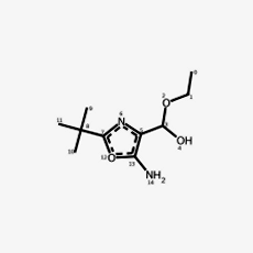 CCOC(O)c1nc(C(C)(C)C)oc1N